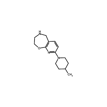 CC1CCN(c2ccc3c(n2)OCCNC3)CC1